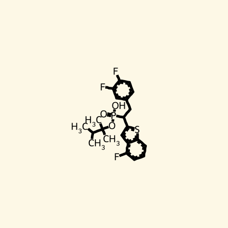 CC(C)C(C)(C)OP(=O)(O)C(Cc1ccc(F)c(F)c1)c1cc2c(F)cccc2s1